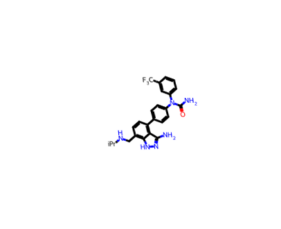 CC(C)NCc1ccc(-c2ccc(N(C(N)=O)c3cccc(C(F)(F)F)c3)cc2)c2c(N)n[nH]c12